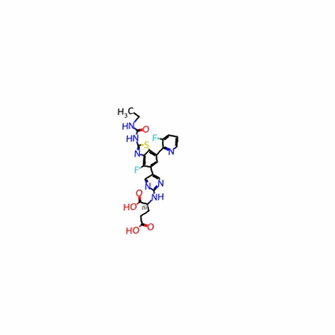 CCNC(=O)Nc1nc2c(F)c(-c3cnc(N[C@@H](CCC(=O)O)C(=O)O)nc3)cc(-c3ncccc3F)c2s1